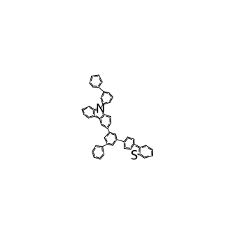 c1ccc(-c2cc(-c3ccc4c(c3)sc3ccccc34)cc(-c3ccc4c(c3)c3ccccc3n4-c3cccc(-c4ccccc4)c3)c2)cc1